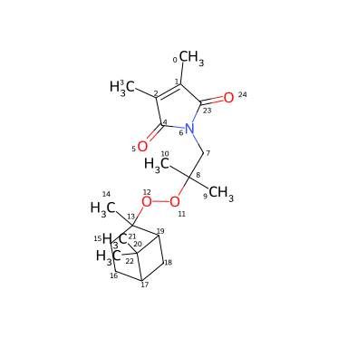 CC1=C(C)C(=O)N(CC(C)(C)OOC2(C)CCC3CC2C3(C)C)C1=O